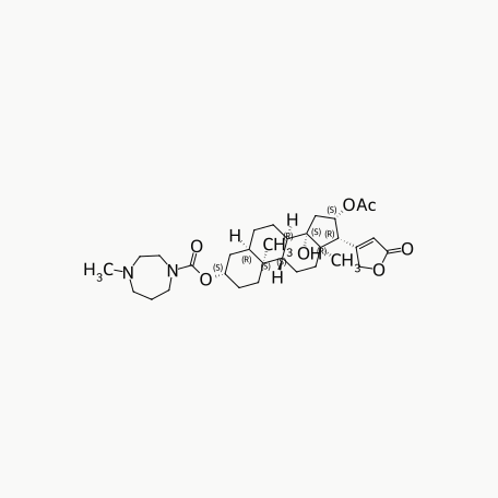 CC(=O)O[C@H]1C[C@]2(O)[C@@H]3CC[C@@H]4C[C@@H](OC(=O)N5CCCN(C)CC5)CC[C@]4(C)[C@H]3CC[C@]2(C)[C@H]1C1=CC(=O)OC1